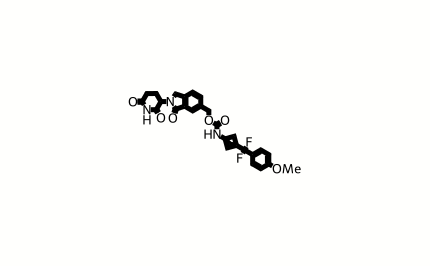 COc1ccc(C(F)(F)C23CC(NC(=O)OCc4ccc5c(c4)C(=O)N(C4CCC(=O)NC4=O)C5)(C2)C3)cc1